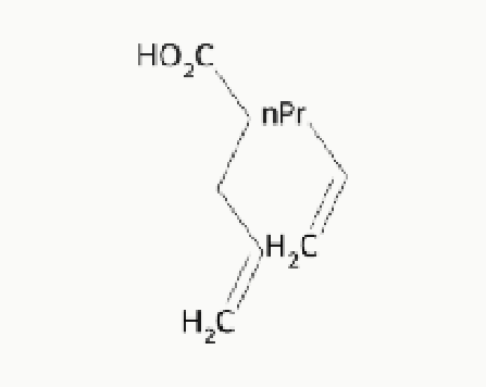 C=CCCC.C=CCCC(=O)O